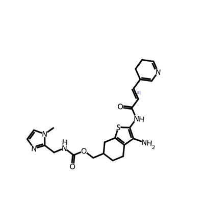 Cn1ccnc1CNC(=O)OCC1CCc2c(sc(NC(=O)/C=C/C3=CN=CCC3)c2N)C1